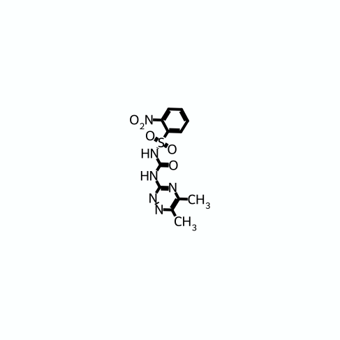 Cc1nnc(NC(=O)NS(=O)(=O)c2ccccc2[N+](=O)[O-])nc1C